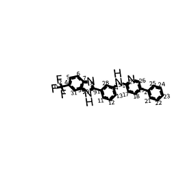 FC(F)(F)c1ccc2nc(-c3cccc(Nc4ccc(-c5ccccc5)cn4)c3)[nH]c2c1